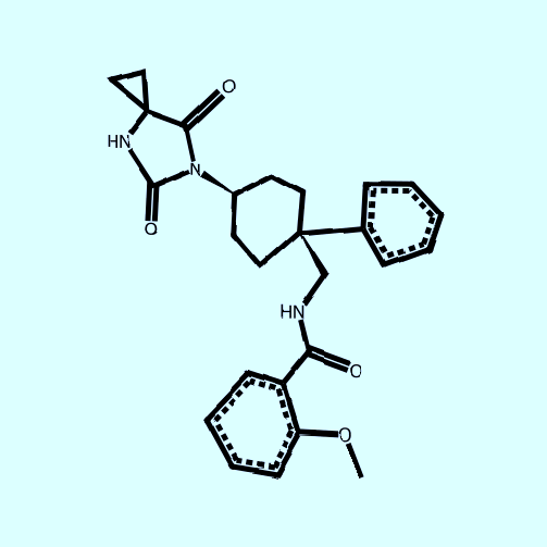 COc1ccccc1C(=O)NC[C@]1(c2ccccc2)CC[C@H](N2C(=O)NC3(CC3)C2=O)CC1